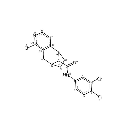 O=C(Nc1ccc(Cl)c(Cl)c1)N1C2CCC1c1ccnc(Cl)c1C2